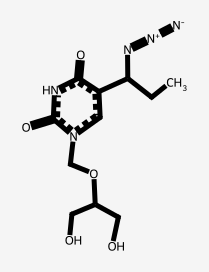 CCC(N=[N+]=[N-])c1cn(COC(CO)CO)c(=O)[nH]c1=O